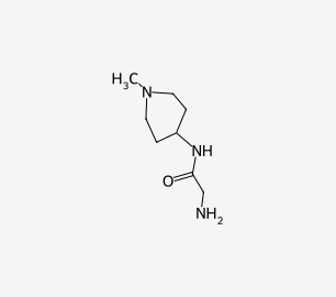 CN1CCC(NC(=O)CN)CC1